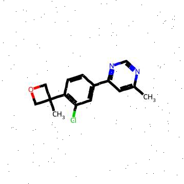 Cc1cc(-c2ccc(C3(C)COC3)c(Cl)c2)ncn1